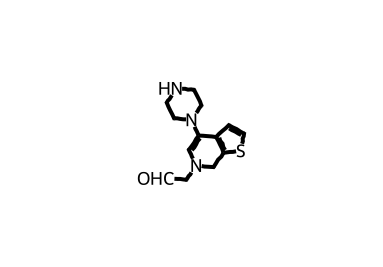 O=CCN1C=C(N2CCNCC2)c2ccsc2C1